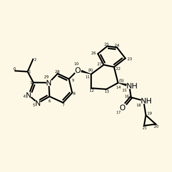 CC(C)c1nnc2ccc(O[C@@H]3CC[C@H](NC(=O)NC4CC4)c4ccccc43)cn12